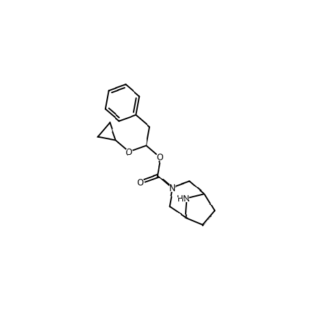 O=C(OC(Cc1ccccc1)OC1CC1)N1CC2CCC(C1)N2